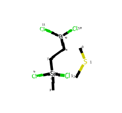 CSC.C[Si](Cl)(Cl)CCB(Cl)Cl